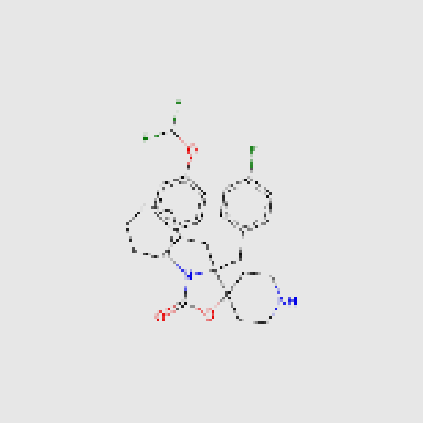 O=C1OC2(CCNCC2)C(Cc2ccc(F)cc2)(CC2CCCCC2)N1Cc1ccc(OC(F)F)cc1